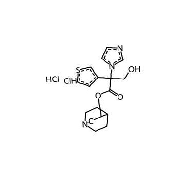 Cl.Cl.O=C(OC1CN2CCC1CC2)C(CO)(c1ccsc1)n1ccnc1